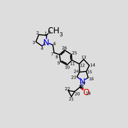 CC1CCCN1CCc1ccc(C2CCC3CN(C(=O)C4CC4)CC32)cc1